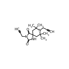 C#CCN1C(=O)NC2(CC(C)(C)N(CC#C)C(C)(C)C2)C1=O